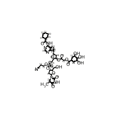 Cc1cn(C2CC(OP(=O)(OCCC#N)OCC3OC(n4cnc5c(NC(=O)c6ccccc6)ncnc54)CC3OC(=O)COC(=O)c3cc(O)c(O)c(O)c3)C(CO)O2)c(=O)[nH]c1=O